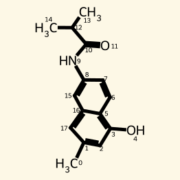 Cc1cc(O)c2ccc(NC(=O)C(C)C)cc2c1